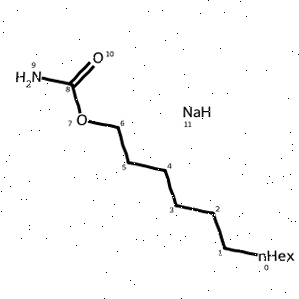 CCCCCCCCCCCCOC(N)=O.[NaH]